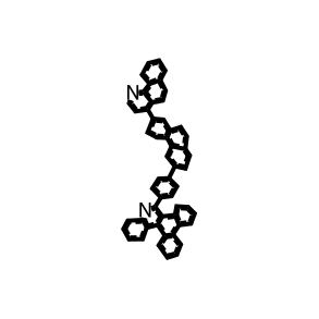 c1ccc2c(c1)ccc1c(-c3ccc4c(ccc5ccc(-c6ccc(-c7nc8ccccc8c8c9ccccc9c9ccccc9c78)cc6)cc54)c3)ccnc12